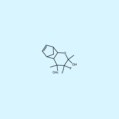 CC(=O)OC1(C)C2C3C=CC(C3)C2OC(C)(O)C1(F)F